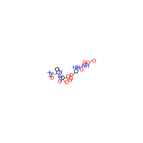 CC(=O)N(CCc1c2c(nc3ccccc13)-c1cc3c(c(=O)n1C2)COC(=O)[C@H]3OC(=O)OCc1ccc(NC(=O)CNC(=O)COCC=O)cc1)C(C)C